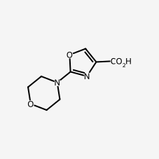 O=C(O)c1coc(N2CCOCC2)n1